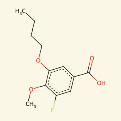 CCCCOc1cc(C(=O)O)cc(F)c1OC